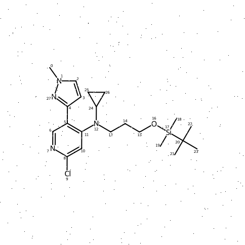 Cn1ccc(-c2cnc(Cl)cc2N(CCCO[Si](C)(C)C(C)(C)C)C2CC2)n1